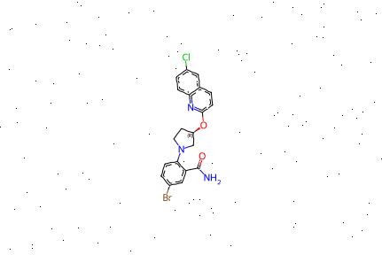 NC(=O)c1cc(Br)ccc1N1CC[C@@H](Oc2ccc3cc(Cl)ccc3n2)C1